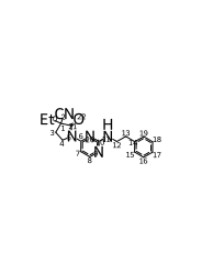 CCC1(C#N)CCN(c2ccnc(NCCc3ccccc3)n2)C1=O